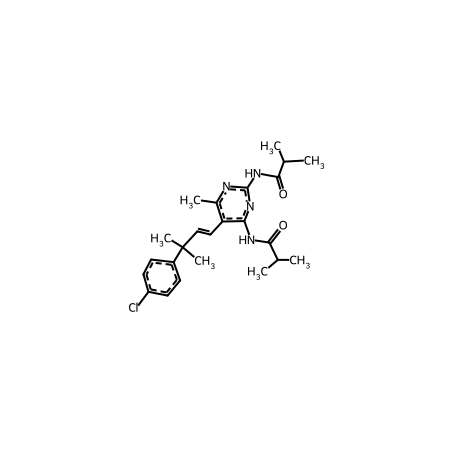 Cc1nc(NC(=O)C(C)C)nc(NC(=O)C(C)C)c1C=CC(C)(C)c1ccc(Cl)cc1